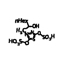 CCCCCCC(C)O.O=S(=O)(O)Oc1nnc(OS(=O)(=O)O)s1